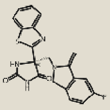 C=C1c2cc(F)ccc2CN1C[C@@]1(c2nc3ccccc3s2)NC(=O)NC1=O